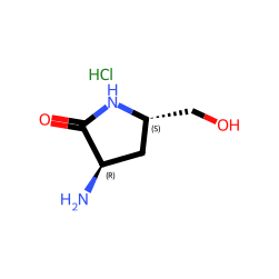 Cl.N[C@@H]1C[C@@H](CO)NC1=O